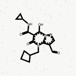 O=Cc1cnn2c(O)c(C(=O)NC3CC3)c(=O)n(CC3CCC3)c12